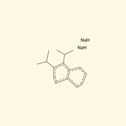 CC(C)c1ccc2ccccc2c1C(C)C.[NaH].[NaH]